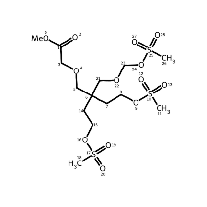 COC(=O)COCC(CCOS(C)(=O)=O)(CCOS(C)(=O)=O)COCOS(C)(=O)=O